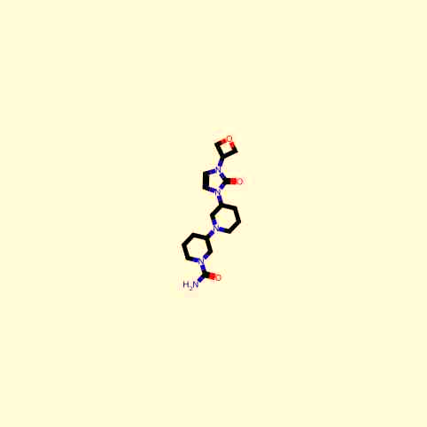 NC(=O)N1CCCC(N2CCCC(n3ccn(C4COC4)c3=O)C2)C1